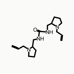 C=CCN1CCCC1CNC(=O)NCC1CCCN1CC=C